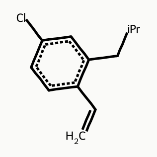 C=Cc1ccc(Cl)cc1CC(C)C